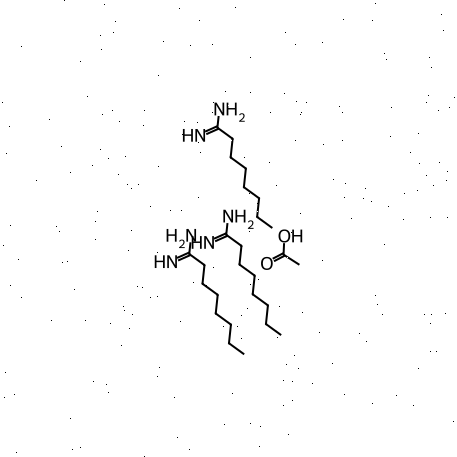 CC(=O)O.CCCCCCCC(=N)N.CCCCCCCC(=N)N.CCCCCCCC(=N)N